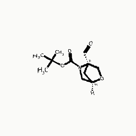 CC(C)(C)OC(=O)N1C[C@H]2C[C@]1(C=O)CO2